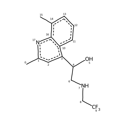 Cc1cc(C(O)CNCC(F)(F)F)c2cccc(C)c2n1